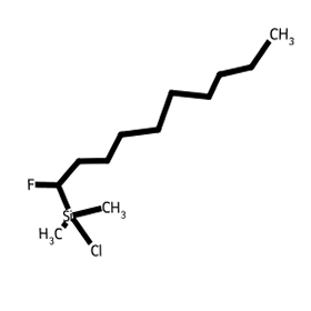 CCCCCCCCCC(F)[Si](C)(C)Cl